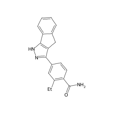 CCc1cc(-c2n[nH]c3c2Cc2ccccc2-3)ccc1C(N)=O